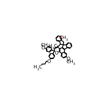 CCCCOc1ccc(C2(c3ccc(OC)cc3)C=Cc3c4c(c5cc(OC)ccc5c3O2)-c2ccccc2C4(CCC)C(CC)c2ccccc2)cc1